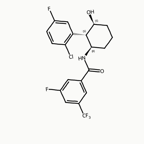 O=C(N[C@@H]1CCC[C@H](O)[C@H]1c1cc(F)ccc1Cl)c1cc(F)cc(C(F)(F)F)c1